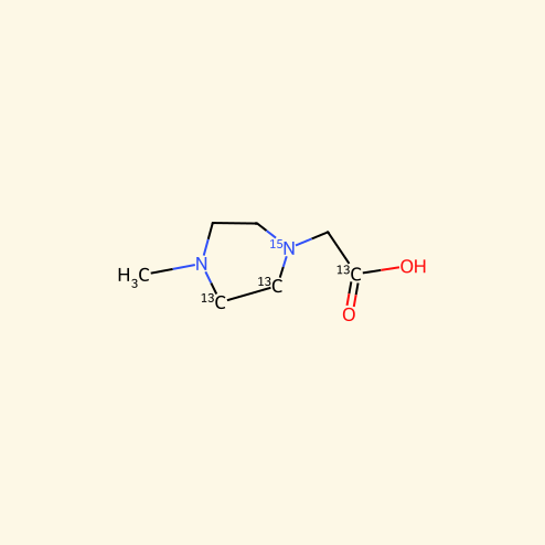 CN1CC[15N](C[13C](=O)O)[13CH2][13CH2]1